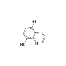 [2H]c1ccc(C#N)c2ncccc12